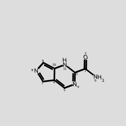 NC(=O)c1ncc2cncc-2[nH]1